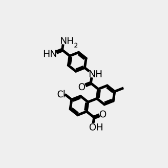 Cc1ccc(-c2cc(Cl)ccc2C(=O)O)c(C(=O)Nc2ccc(C(=N)N)cc2)c1